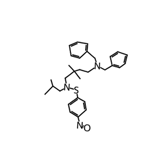 CC(C)CN(CC(C)(C)CCN(Cc1ccccc1)Cc1ccccc1)Sc1ccc(N=O)cc1